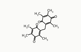 CC1=C(C)C(=O)C(CC2=C(C)C(=O)C(C)=C(C)C2=O)=C(C)C1=O